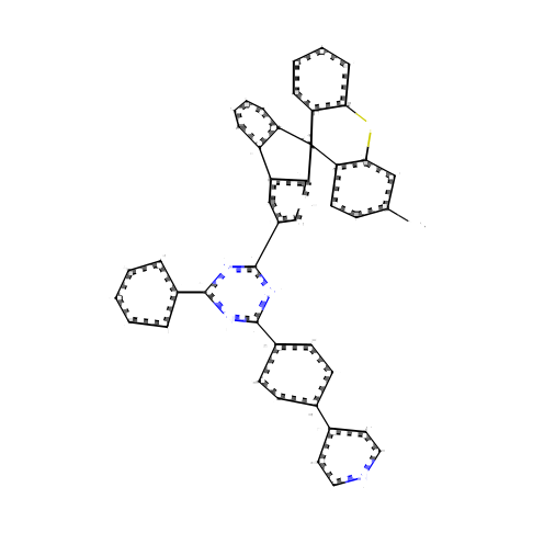 N#Cc1ccc2c(c1)Sc1ccccc1C21c2ccccc2-c2cc(-c3nc(-c4ccccc4)nc(-c4ccc(-c5ccncc5)cc4)n3)ccc21